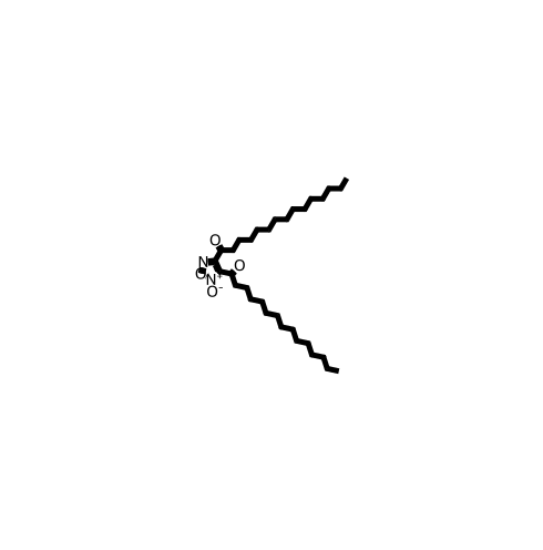 CCCCCCCCCCCCCCC(=O)c1no[n+]([O-])c1C(=O)CCCCCCCCCCCCCC